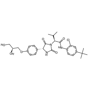 CC(C)[C@@H](C(=O)Nc1ccc(C(C)(C)C)cc1Cl)N1C(=O)N[C@H](c2ccc(OC[C@@H](O)CO)cc2)C1=O